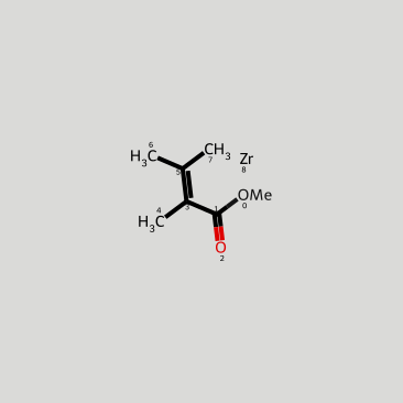 COC(=O)C(C)=C(C)C.[Zr]